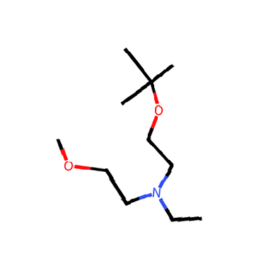 CCN(CCOC)CCOC(C)(C)C